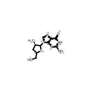 C[C@@H]1CC(CO)OC1n1cnc2c(=O)[nH]c(N)nc21